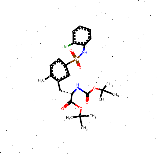 Cc1ccc(S(=O)(=O)Nc2ccccc2Br)cc1C[C@H](NC(=O)OC(C)(C)C)C(=O)OC(C)(C)C